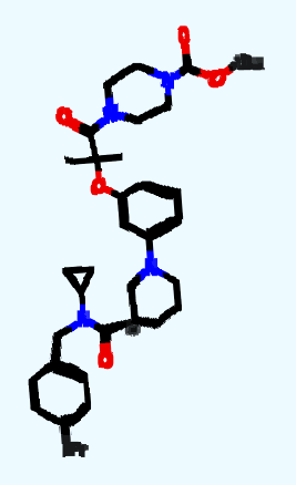 CC(C)c1ccc(CN(C(=O)[C@@H]2CCCN(c3cccc(OC(C)(C)C(=O)N4CCN(C(=O)OC(C)(C)C)CC4)c3)C2)C2CC2)cc1